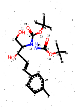 Cc1ccc(/C=C/[C@@H](O)C(CO)N(NC(=O)OC(C)(C)C)C(=O)OC(C)(C)C)cc1